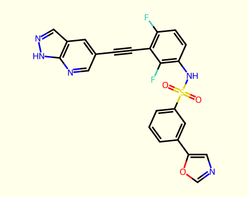 O=S(=O)(Nc1ccc(F)c(C#Cc2cnc3[nH]ncc3c2)c1F)c1cccc(-c2cnco2)c1